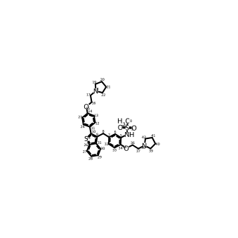 CS(=O)(=O)Nc1cc(Cc2c(-c3ccc(OCCN4CCCC4)cc3)sc3ccccc23)ccc1OCCN1CCCC1